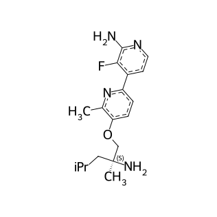 Cc1nc(-c2ccnc(N)c2F)ccc1OC[C@@](C)(N)CC(C)C